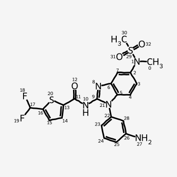 CN(c1ccc2c(c1)nc(NC(=O)c1ccc(C(F)F)s1)n2-c1cccc(N)c1)S(C)(=O)=O